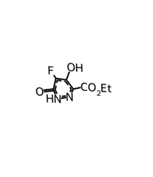 CCOC(=O)c1n[nH]c(=O)c(F)c1O